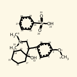 COc1ccc(C(CN(C)C)C2(O)CCCCC2)cc1.O=S(=O)(O)c1ccccc1